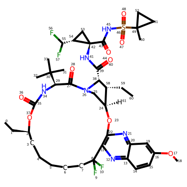 CC[C@@H]1CCCCCC(F)(F)c2nc3ccc(OC)cc3nc2O[C@H]2CN(C(=O)[C@H](C(C)(C)C)NC(=O)O1)[C@H](C(=O)N[C@]1(C(=O)NS(=O)(=O)C3(C)CC3)C[C@H]1C(F)F)[C@@H]2CC